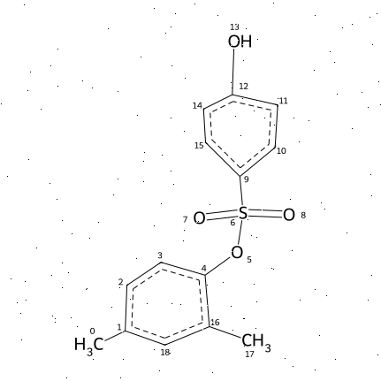 Cc1ccc(OS(=O)(=O)c2ccc(O)cc2)c(C)c1